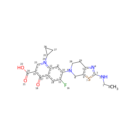 CCNc1nc2c(s1)CN(c1cc3c(cc1F)c(=O)c(C(=O)O)cn3C1CC1)CC2